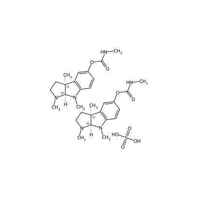 CNC(=O)Oc1ccc2c(c1)[C@]1(C)CCN(C)[C@@H]1N2C.CNC(=O)Oc1ccc2c(c1)[C@]1(C)CCN(C)[C@@H]1N2C.O=S(=O)(O)O